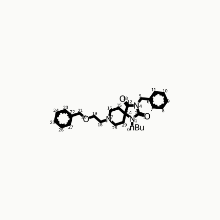 CCCCN1C(=O)N(Cc2ccccc2)C(=O)C12CCN(CCOCc1ccccc1)CC2